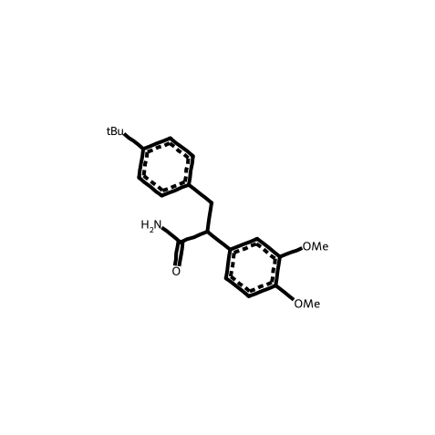 COc1ccc(C(Cc2ccc(C(C)(C)C)cc2)C(N)=O)cc1OC